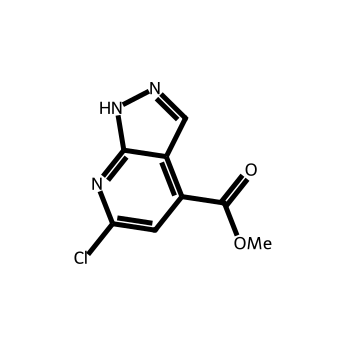 COC(=O)c1cc(Cl)nc2[nH]ncc12